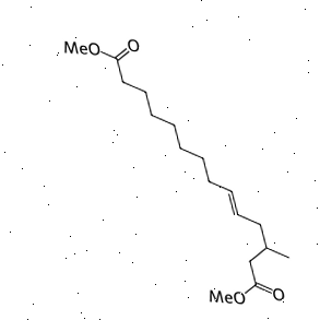 COC(=O)CCCCCCCC=CCC(C)CC(=O)OC